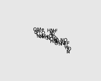 COc1ccc(CN2CCN(C3CC4(CCN(c5ccc(C(=O)NS(=O)(=O)c6cnc(NCC7(F)CCN(C(=O)CN(C)C)CC7)c([N+](=O)[O-])c6)c(Oc6cc7c(F)c[nH]c7nc6OC)c5)CC4)C3)[C@H](c3ccccc3C(C)C)C2)cc1